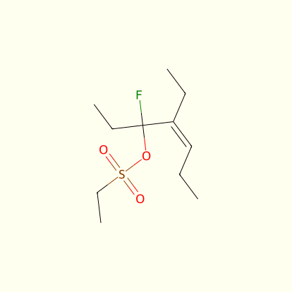 CCC=C(CC)C(F)(CC)OS(=O)(=O)CC